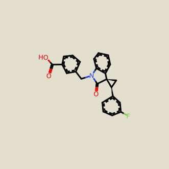 O=C(O)c1cccc(CN2C(=O)[C@]3(C[C@H]3c3cccc(F)c3)c3ccccc32)c1